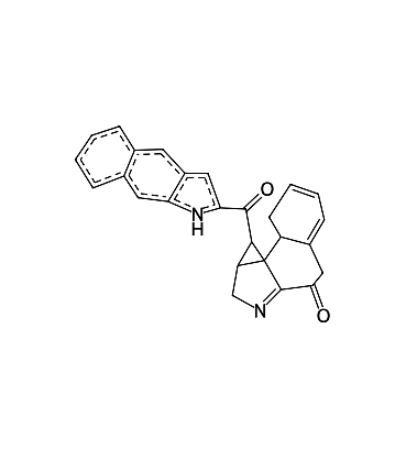 O=C1CC2=CC=CCC2C23C1=NCC2C3C(=O)c1cc2cc3ccccc3cc2[nH]1